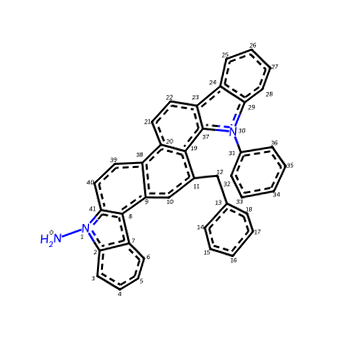 Nn1c2ccccc2c2c3cc(Cc4ccccc4)c4c(ccc5c6ccccc6n(-c6ccccc6)c54)c3ccc21